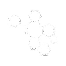 c1ccc(-p2[nH]c3ccc4ccccc4c3c3c4ccccc4ccc3c3ccccc32)cc1